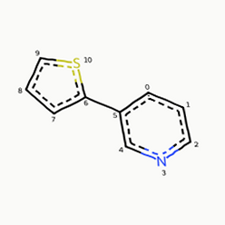 [c]1ccncc1-c1cccs1